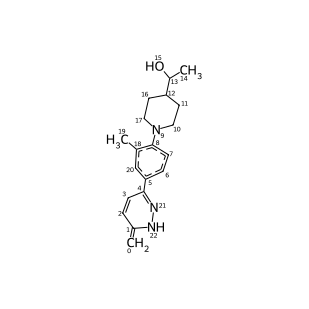 C=C1C=CC(c2ccc(N3CCC(C(C)O)CC3)c(C)c2)=NN1